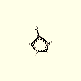 [O]c1cscn1